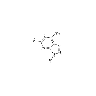 Nc1nc(Cl)nc2c1cnn2Br